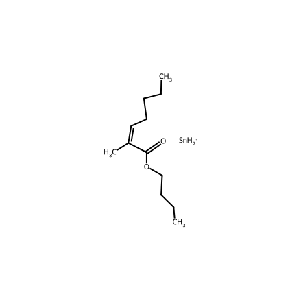 CCCCC=C(C)C(=O)OCCCC.[SnH2]